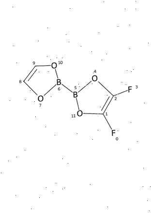 FC1=C(F)OB(B2OC=CO2)O1